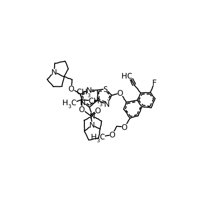 C#Cc1c(F)ccc2cc(OCOC)cc(Oc3nc4c(N5CC6CCC(C5)N6C(=O)OC(C)(C)C)nc(OCC56CCCN5CCC6)nc4s3)c12